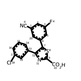 N#Cc1cc(F)cc(-c2sc(C(=O)O)nc2-c2cccc(Cl)c2)c1